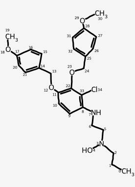 CCCN(O)CCNc1ccc(OCc2ccc(OC)cc2)c(OCc2ccc(OC)cc2)c1Cl